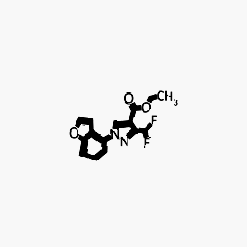 CCOC(=O)c1cn(-c2cccc3occc23)nc1C(F)F